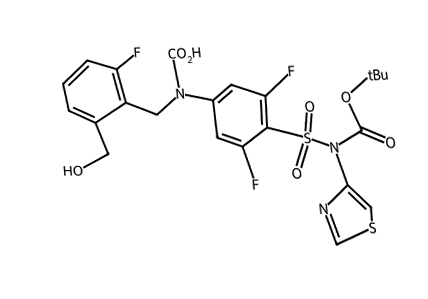 CC(C)(C)OC(=O)N(c1cscn1)S(=O)(=O)c1c(F)cc(N(Cc2c(F)cccc2CO)C(=O)O)cc1F